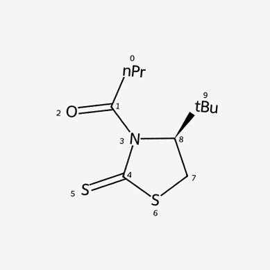 CCCC(=O)N1C(=S)SC[C@@H]1C(C)(C)C